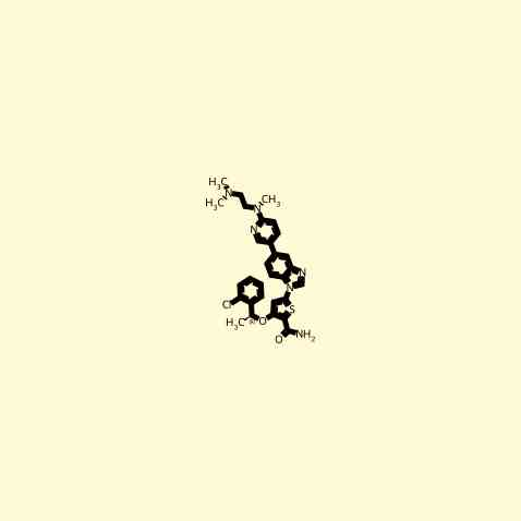 C[C@@H](Oc1cc(-n2cnc3cc(-c4ccc(N(C)CCN(C)C)nc4)ccc32)sc1C(N)=O)c1ccccc1Cl